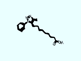 Cc1nnn(-c2ccccc2)c1CCCCCCCCC(=O)O